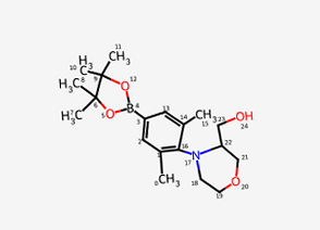 Cc1cc(B2OC(C)(C)C(C)(C)O2)cc(C)c1N1CCOCC1CO